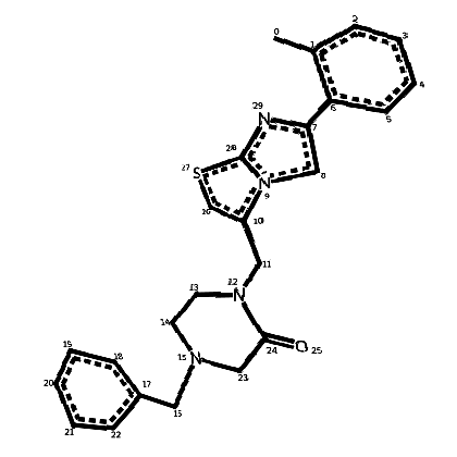 Cc1ccccc1-c1cn2c(CN3CCN(Cc4ccccc4)CC3=O)csc2n1